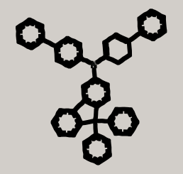 C1=C(c2ccccc2)CCC(N(c2ccc(-c3ccccc3)cc2)c2ccc3c(c2)-c2ccccc2C3(c2ccccc2)c2ccccc2)=C1